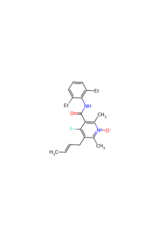 CC=CCc1c(F)c(C(=O)Nc2c(CC)cccc2CC)c(C)[n+]([O-])c1C